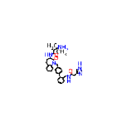 CC(C)(N)CC(=O)N[C@@H]1CCc2ccccc2N(Cc2ccc(-c3ccccc3CNC(=O)Cc3c[nH]cn3)cc2)C1=O